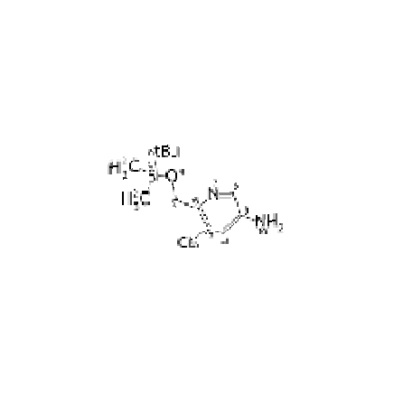 CC(C)(C)[Si](C)(C)OCc1ncc(N)cc1Cl